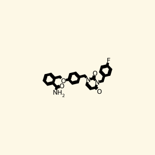 NC(=O)c1ccccc1COc1ccc(Cn2ccc(=O)n(Cc3ccc(F)cc3)c2=O)cc1